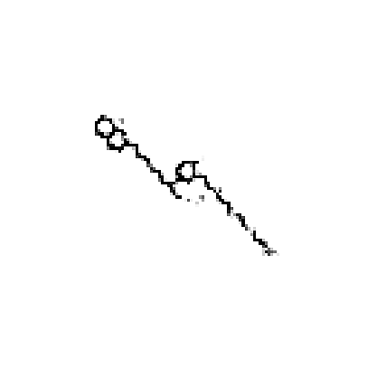 NCCOCCOCCOCCn1cc(/C(=C\CCCCCc2ccc3c(n2)NCCC3)CC(=O)O)ccc1=O